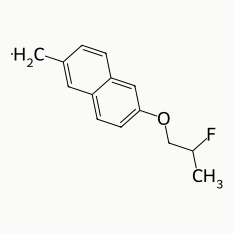 [CH2]c1ccc2cc(OCC(C)F)ccc2c1